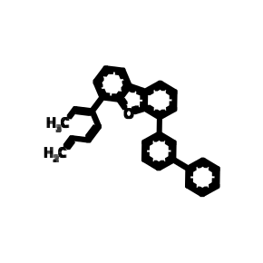 C=C/C=C\C(=C/C)c1cccc2c1oc1c(-c3cccc(-c4ccccc4)c3)cccc12